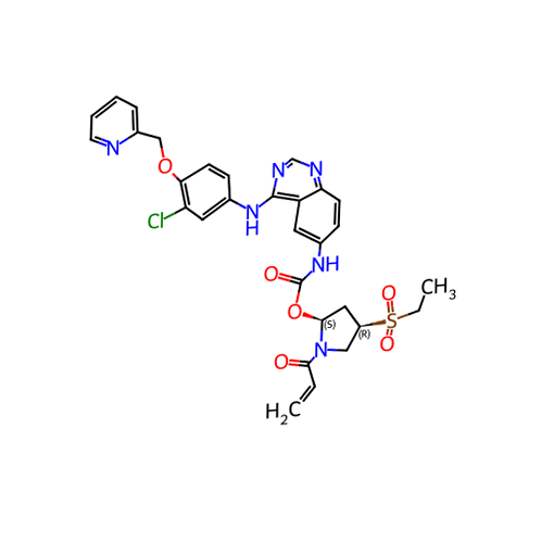 C=CC(=O)N1C[C@H](S(=O)(=O)CC)C[C@@H]1OC(=O)Nc1ccc2ncnc(Nc3ccc(OCc4ccccn4)c(Cl)c3)c2c1